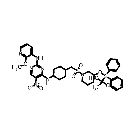 COc1ncccc1Nc1ncc([N+](=O)[O-])c(NC2CCC(CS(=O)(=O)N3CCCC(O[Si](c4ccccc4)(c4ccccc4)C(C)(C)C)C3)CC2)n1